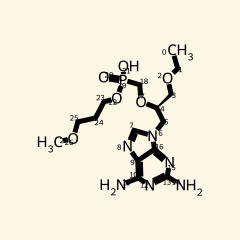 CCOC[C@@H](Cn1cnc2c(N)nc(N)nc21)OCP(=O)(O)OCCCOC